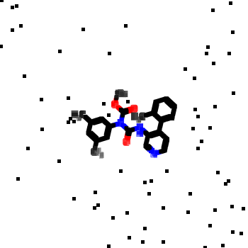 Cc1cc(N(C(=O)Nc2cnccc2-c2ccccc2C)C(=O)OC(C)(C)C)cc(C(F)(F)F)c1